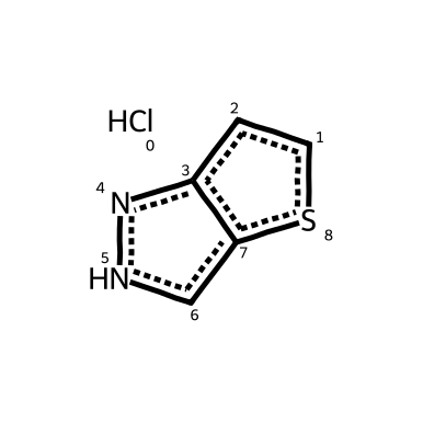 Cl.c1cc2n[nH]cc2s1